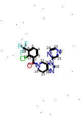 O=C(c1cccc(C(F)(F)F)c1Cl)N1CCc2ncn(-c3cnccn3)c2C1